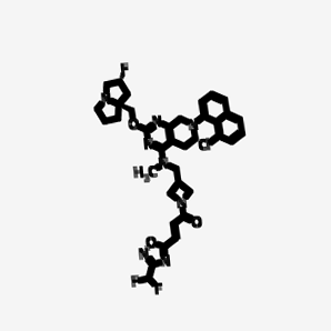 CN(CC1CN(C(=O)/C=C/c2nc(C(F)F)no2)C1)c1nc(OC[C@@]23CCCN2C[C@H](F)C3)nc2c1CCN(c1cccc3cccc(Cl)c13)C2